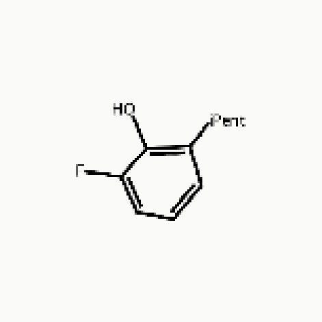 CCCC(C)c1cccc(F)c1O